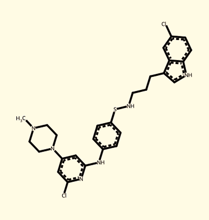 CN1CCN(c2cc(Cl)nc(Nc3ccc(SNCCCc4c[nH]c5ccc(Cl)cc45)cc3)c2)CC1